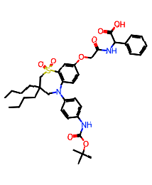 CCCCC1(CCCC)CN(c2ccc(NC(=O)OC(C)(C)C)cc2)c2ccc(OCC(=O)NC(C(=O)O)c3ccccc3)cc2S(=O)(=O)C1